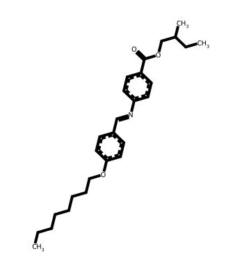 CCCCCCCCOc1ccc(C=Nc2ccc(C(=O)OCC(C)CC)cc2)cc1